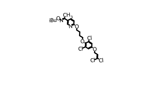 CCC(C)ON=C(C)c1ccc(OCCCCOc2c(Cl)cc(OCC=C(Cl)Cl)cc2Cl)nc1